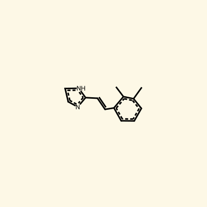 Cc1cccc(C=Cc2ncc[nH]2)c1C